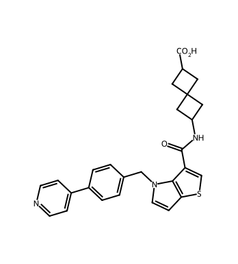 O=C(NC1CC2(C1)CC(C(=O)O)C2)c1csc2ccn(Cc3ccc(-c4ccncc4)cc3)c12